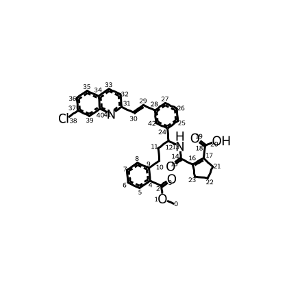 COC(=O)c1ccccc1CCC(NC(=O)C1=C(C(=O)O)CCC1)c1cccc(/C=C/c2ccc3ccc(Cl)cc3n2)c1